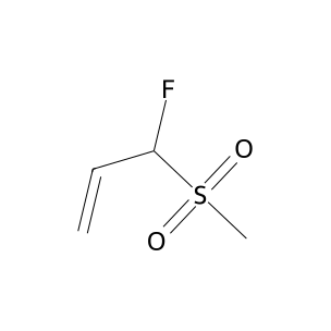 C=CC(F)S(C)(=O)=O